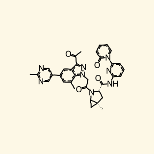 CC(=O)c1nn(CC(=O)N2C3C[C@]3(C)C[C@H]2C(=O)Nc2cccc(-n3ccccc3=O)n2)c2c(C)cc(-c3cnc(C)nc3)cc12